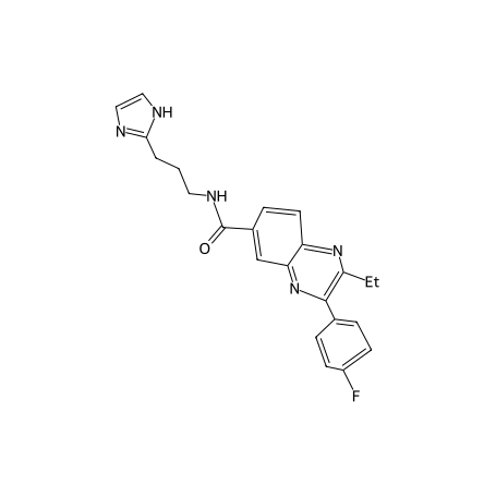 CCc1nc2ccc(C(=O)NCCCc3ncc[nH]3)cc2nc1-c1ccc(F)cc1